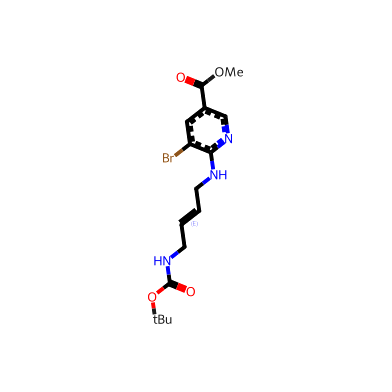 COC(=O)c1cnc(NC/C=C/CNC(=O)OC(C)(C)C)c(Br)c1